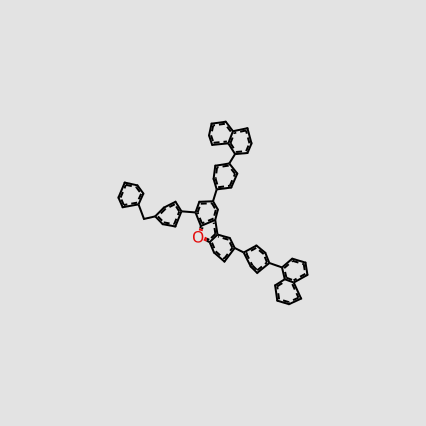 c1ccc(Cc2ccc(-c3cc(-c4ccc(-c5cccc6ccccc56)cc4)cc4c3oc3ccc(-c5ccc(-c6cccc7ccccc67)cc5)cc34)cc2)cc1